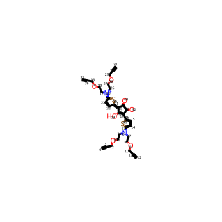 C#CCOCCN(CCOCC#C)c1ccc(C2=C(O)/C(=C3\C=CC(=[N+](CCOCC#C)CCOCC#C)S3)C(=O)C2=O)s1